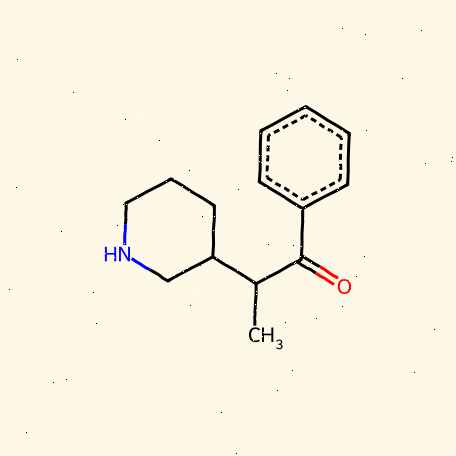 CC(C(=O)c1ccccc1)C1CCCNC1